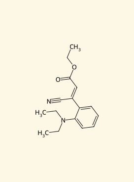 CCOC(=O)C=C(C#N)c1ccccc1N(CC)CC